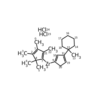 CC1=C(C)C(C)(C)[C]([Zr][C]2=CC(C3(C)CCCCC3)=CC2)=C1C.Cl.Cl